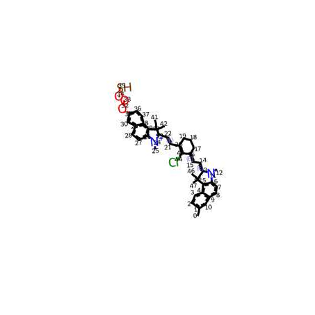 Cc1ccc2c3c(ccc2c1)N(C)/C(=C/C=C1\CCCC(/C=C/C2=[N+](C)c4ccc5cc(OOOS)ccc5c4C2(C)C)=C1Cl)C3(C)C